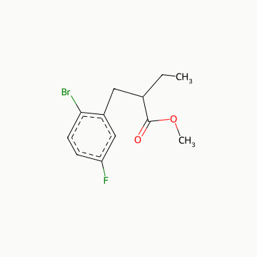 CCC(Cc1cc(F)ccc1Br)C(=O)OC